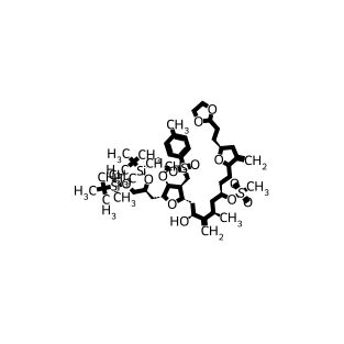 C=C1C[C@H](CCC2OCCO2)OC1CC[C@H](C[C@@H](C)C(=C)[C@H](O)C[C@@H]1O[C@H](C[C@@H](CO[Si](C)(C)C(C)(C)C)O[Si](C)(C)C(C)(C)C)[C@H](OC)[C@H]1CS(=O)(=O)c1ccc(C)cc1)OS(C)(=O)=O